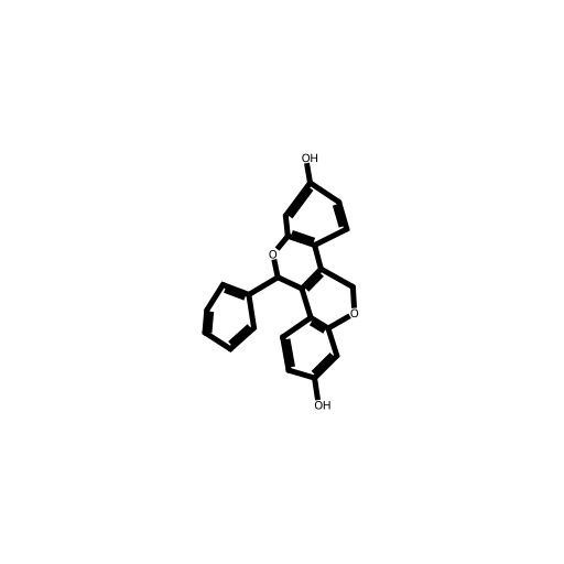 Oc1ccc2c(c1)OC(c1ccccc1)C1=C2COc2cc(O)ccc21